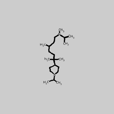 CC(CCN(C)C(C)C)CCC(C)(C)C1CCN(C(C)C)CC1